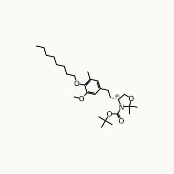 CCCCCCCCOc1c(C)cc(CC[C@@H]2COC(C)(C)N2C(=O)OC(C)(C)C)cc1OC